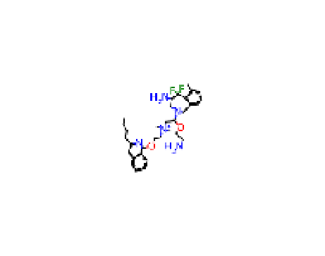 CCCCc1cc2ccccc2c(OCC[N+](C)(C)CC(OCCN)N2Cc3cccc(C)c3C(F)(F)C(N)C2)n1